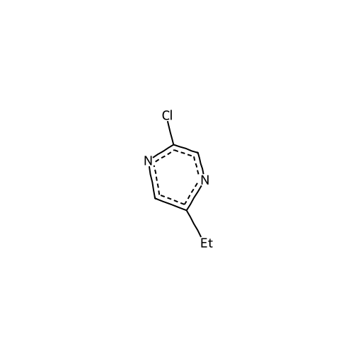 CCc1cnc(Cl)cn1